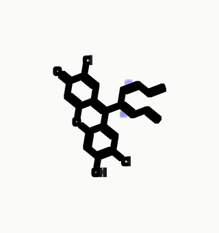 C=C/C=C\C(=C/C=C)c1c2cc(Cl)c(=O)cc-2oc2cc(O)c(Cl)cc12